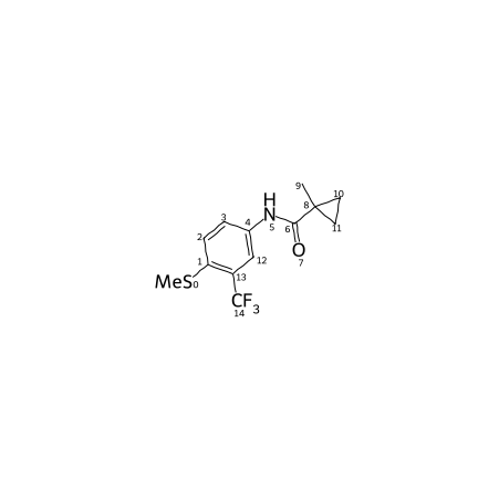 CSc1ccc(NC(=O)C2(C)CC2)cc1C(F)(F)F